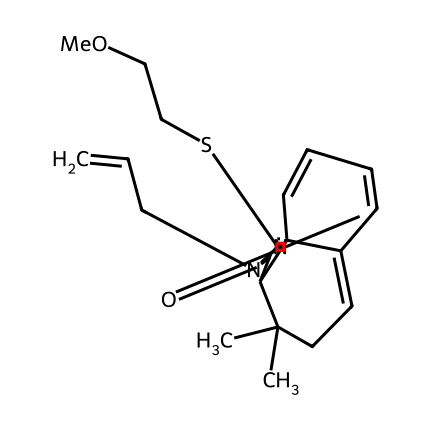 C=CCN1C(=O)C2C(C)(C)CC=C3C=CC=CC32N=C1SCCOC